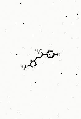 CC(CCC1COC(N)=N1)c1ccc(Cl)cc1